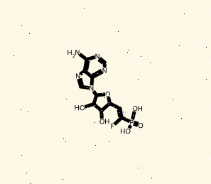 Nc1ncnc2c1ncn2C1OC(/C=C(\F)P(=O)(O)O)C(O)C1O